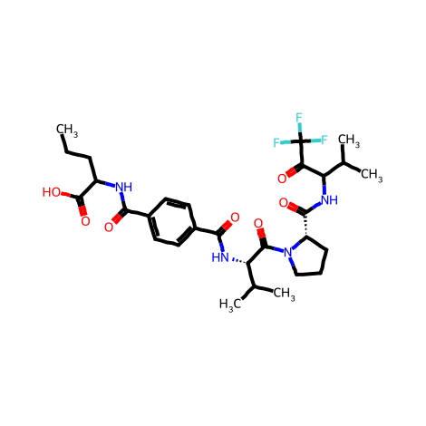 CCCC(NC(=O)c1ccc(C(=O)N[C@H](C(=O)N2CCC[C@H]2C(=O)NC(C(=O)C(F)(F)F)C(C)C)C(C)C)cc1)C(=O)O